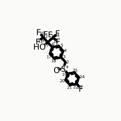 [O-][S+](Cc1ccc(C(O)(C(F)(F)F)C(F)(F)F)cc1)c1ccc(F)cc1